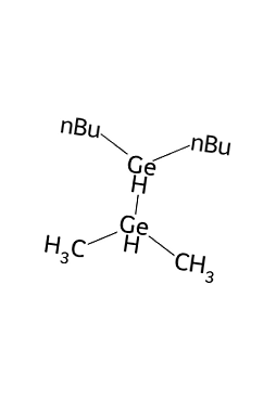 CCC[CH2][GeH]([CH2]CCC)[GeH]([CH3])[CH3]